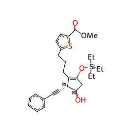 CC[Si](CC)(CC)OC1=C(CCCc2ccc(C(=O)OC)s2)[C@@H](C#Cc2ccccc2)[C@H](O)C1